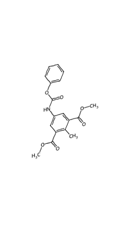 COC(=O)c1cc(NC(=O)Oc2ccccc2)cc(C(=O)OC)c1C